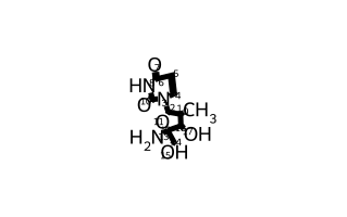 CC1C(n2ccc(=O)[nH]c2=O)OC(N)(CO)C1O